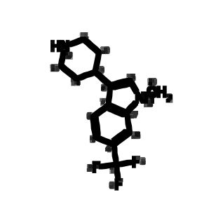 FC(F)(F)c1ccc2c(C3CCNCC3)c[nH]c2c1.O